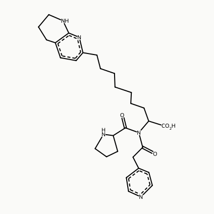 O=C(O)C(CCCCCCCc1ccc2c(n1)NCCC2)N(C(=O)Cc1ccncc1)C(=O)C1CCCN1